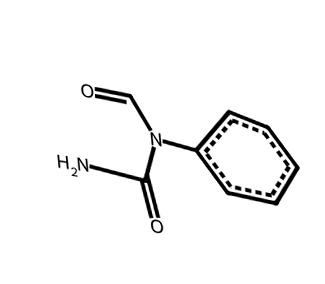 NC(=O)N(C=O)c1ccccc1